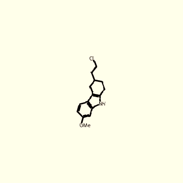 COc1ccc2c3c([nH]c2c1)CCC(CCCl)C3